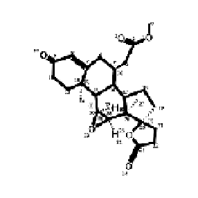 COC(=O)C[C@@H]1CC2=CC(=O)CC[C@]2(C)C2C1C1CC[C@@]3(CCC(=O)O3)[C@@]1(C)[C@H]1O[C@@H]21